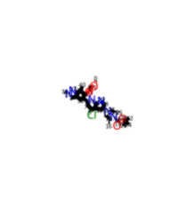 COCOc1c(-c2cc(Cl)c3cc(N4C[C@H](C)N(C(=O)OC(C)(C)C)[C@@H](C)C4)cnc3n2)cc2cn(C)nc2c1C